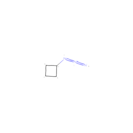 [N-]=[N+]=NC1CCC1